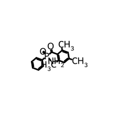 Cc1cc(C)c(C(=O)P(N)(=O)c2ccccc2)c(C)c1